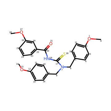 COc1ccc(CN(Cc2ccc(OC)cc2)C(=S)NC(=O)c2cccc(OC)c2)cc1